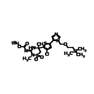 CN1/C(=N/C(=O)OC(C)(C)C)N[C@](C)(c2sc(-c3cncn3COCC[Si](C)(C)C)cc2Cl)CS1(=O)=O